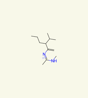 C=C(/N=C(/C)NC)C(CCC)C(C)C